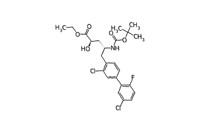 CCOC(=O)[C@H](O)C[C@@H](Cc1ccc(-c2cc(Cl)ccc2F)cc1Cl)NC(=O)OC(C)(C)C